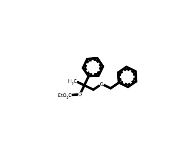 CCOC(=O)OC(C)(COCc1ccccc1)c1ccccc1